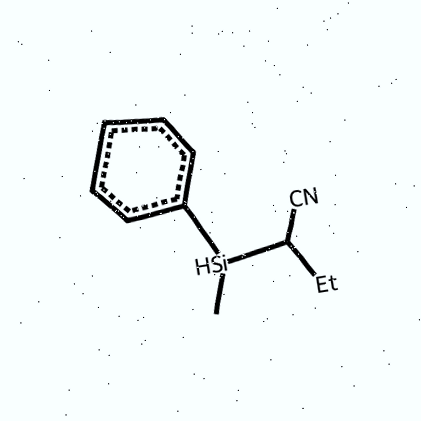 CCC(C#N)[SiH](C)c1ccccc1